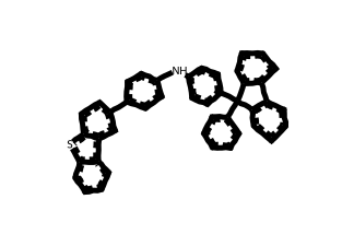 c1ccc(C2(c3ccc(Nc4ccc(-c5ccc6sc7ccccc7c6c5)cc4)cc3)c3ccccc3-c3ccccc32)cc1